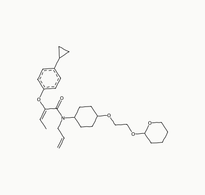 C=CCN(C(=O)C(=CC)Oc1ccc(C2CC2)cc1)C1CCC(OCCOC2CCCCO2)CC1